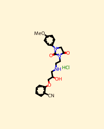 COc1ccc(N2CC(=O)N(CCNCC(O)COc3ccccc3C#N)C2=O)cc1.Cl